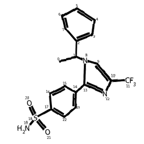 CC(c1ccccc1)n1cc(C(F)(F)F)nc1-c1ccc(S(N)(=O)=O)cc1